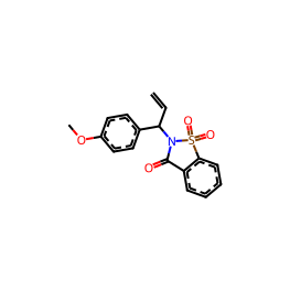 C=CC(c1ccc(OC)cc1)N1C(=O)c2ccccc2S1(=O)=O